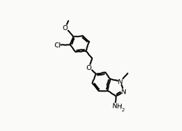 COc1ccc(COc2ccc3c(N)nn(C)c3c2)cc1Cl